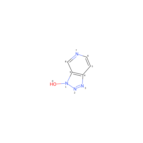 On1nnc2ccncc21